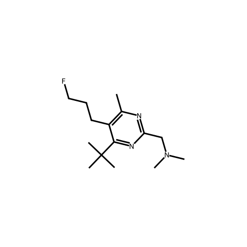 Cc1nc(CN(C)C)nc(C(C)(C)C)c1CCCF